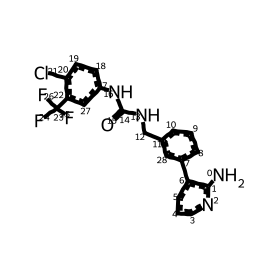 Nc1ncccc1-c1cccc(CNC(=O)Nc2ccc(Cl)c(C(F)(F)F)c2)c1